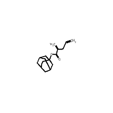 C=CCC(=C)C(=O)OC12CC3CC(CC(C3)C1)C2